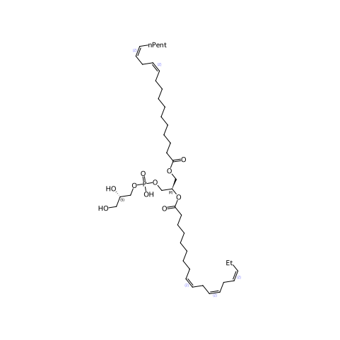 CC/C=C\C/C=C\C/C=C\CCCCCCCC(=O)O[C@H](COC(=O)CCCCCCCCC/C=C\C/C=C\CCCCC)COP(=O)(O)OC[C@@H](O)CO